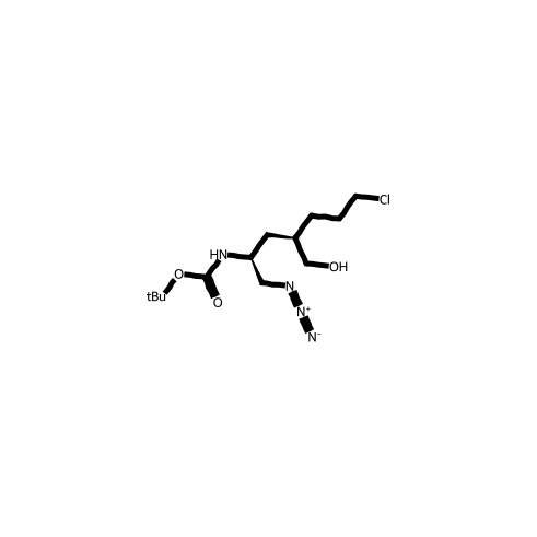 CC(C)(C)OC(=O)N[C@H](CN=[N+]=[N-])C[C@H](CO)CCCCl